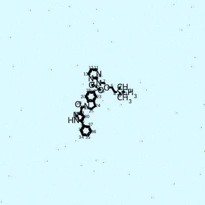 C[Si](C)(C)CCOCN(c1ncccn1)S(=O)(=O)c1ccc2c(c1)CCN2C(=O)c1cc(-c2ccccc2)[nH]n1